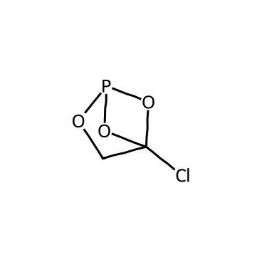 ClC12COP(O1)O2